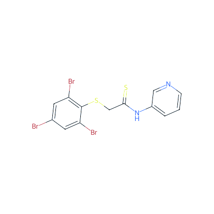 S=C(CSc1c(Br)cc(Br)cc1Br)Nc1cccnc1